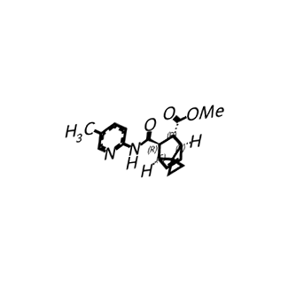 COC(=O)[C@H]1[C@H](C(=O)Nc2ccc(C)cn2)[C@@H]2C=C[C@H]1C21CC1